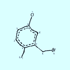 [CH]c1ccc(Cl)cc1CBr